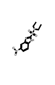 CCN(CC)S(=O)(=O)c1nc2cc([N+](=O)[O-])ccc2[nH]1